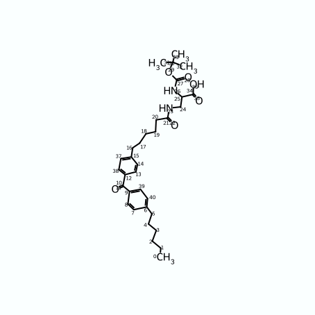 CCCCCCc1ccc(C(=O)c2ccc(CCCCCC(=O)NCC(NC(=O)OC(C)(C)C)C(=O)O)cc2)cc1